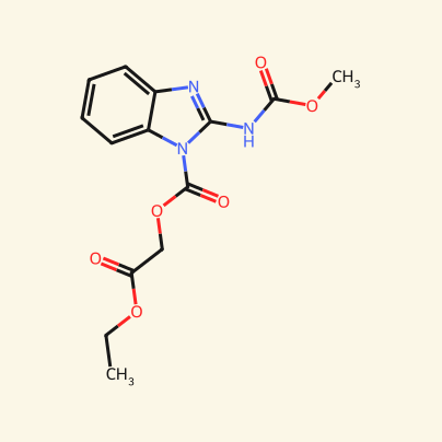 CCOC(=O)COC(=O)n1c(NC(=O)OC)nc2ccccc21